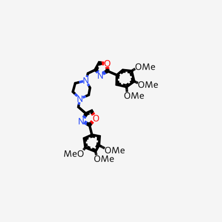 COc1cc(-c2nc(CN3CCN(Cc4coc(-c5cc(OC)c(OC)c(OC)c5)n4)CC3)co2)cc(OC)c1OC